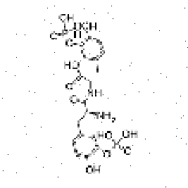 N[C@@H](Cc1ccc(O)c(OP(=O)(O)O)c1)C(=O)N[C@@H](Cc1ccc(O)c(OP(=O)(O)O)c1)C(=O)O